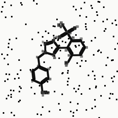 COc1ccc(Cn2nnc(-c3c(Br)cccc3S(N)(=O)=O)n2)cc1